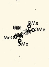 Br.Br.COc1ccc(-c2nc(SCCSc3nc(-c4ccc(OC)cc4)c(-c4ccc(OC)cc4)[nH]3)[nH]c2-c2ccc(OC)cc2)cc1